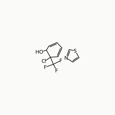 OC1C=CC=CC1(Cl)C(F)(F)F.c1cscn1